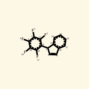 Fc1c(F)c(F)c([C]2C=Cc3ccccc32)c(F)c1F